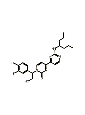 CCCC(CCC)Nc1nccc(-c2ccn(C(CO)c3ccc(Cl)c(F)c3)c(=O)n2)n1